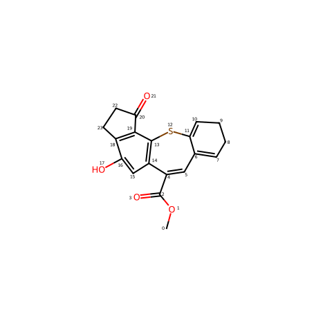 COC(=O)C1=CC2=CCCC=C2Sc2c1cc(O)c1c2C(=O)CC1